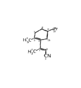 CC(=CC#N)C1=C(C)CCC(C(C)C)C1